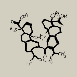 CC(C)c1cc2c(cc1C(=O)c1cc3c(cc1C(C)C)CCC1C(C)(C(=O)O)CCCC31C)C1(C)CCCC(C)(C(=O)O)C1CC2